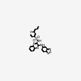 C=C/C=C(F)\C=C(/C=C)S(=O)(=O)Nc1nc2ccccc2nc1Nc1ccc2nsnc2c1